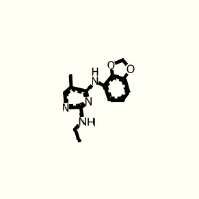 CCNc1ncc(C)c(Nc2cccc3c2OCO3)n1